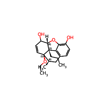 CCC[C@]12c3c4ccc(O)c3O[C@H]1C(O)C=C[C@@]2(OCC)[C@H](C)C4